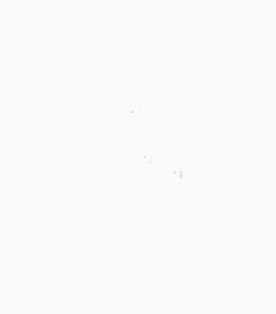 CCS(=O)(=O)N(C(N)=O)c1cccc2ccccc12